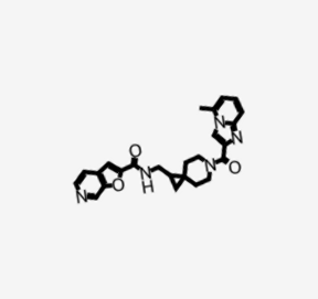 Cc1cccc2nc(C(=O)N3CCC4(CC3)CC4CNC(=O)c3cc4ccncc4o3)cn12